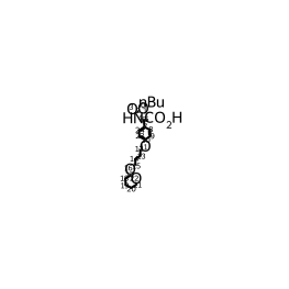 CCCCOC(=O)NC(C(=O)O)c1ccc(OCCCCOC2CCCCO2)cc1